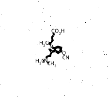 C=C(CCCC(=O)O)n1cc(CCN(C)C)c2cc(OC#N)ccc21